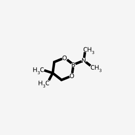 CN(C)B1OCC(C)(C)CO1